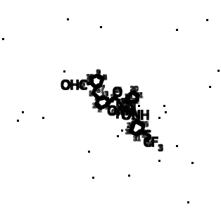 COc1ccc(Cc2ccccc2C=O)cc1C(=O)NC1C2C=CC(C2)N1C(=O)Nc1cccc(SC(F)(F)F)c1